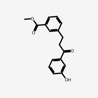 COC(=O)c1cccc(CCC(=O)c2cccc(O)c2)c1